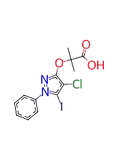 CC(C)(Oc1nn(-c2ccccc2)c(I)c1Cl)C(=O)O